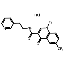 CCn1cc(C(=O)NCCc2cccnc2)c(=O)c2cc(C(F)(F)F)ccc21.Cl